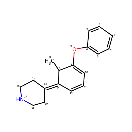 CC1C(Oc2ccccc2)=CC=CC1=C1CCNCC1